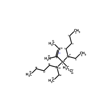 CCCCN(CC)[N+](C)(/C(N)=N/C)N(CC)CCCC.[Cl-]